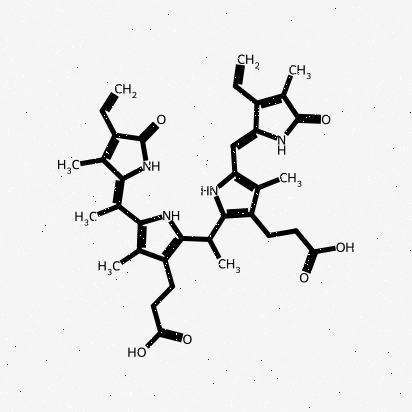 C=CC1=C(C)/C(=C(\C)c2[nH]c(C(C)c3[nH]c(/C=C4\NC(=O)C(C)=C4C=C)c(C)c3CCC(=O)O)c(CCC(=O)O)c2C)NC1=O